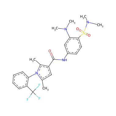 Cc1cc(C(=O)Nc2ccc(S(=O)(=O)N(C)C)c(N(C)C)c2)c(C)n1-c1ccccc1C(F)(F)F